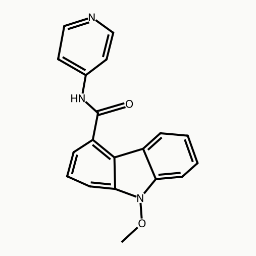 COn1c2ccccc2c2c(C(=O)Nc3ccncc3)cccc21